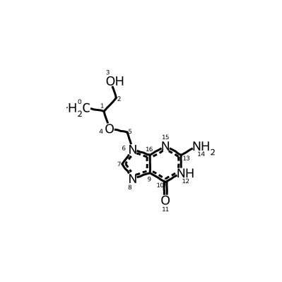 [CH2]C(CO)OCn1cnc2c(=O)[nH]c(N)nc21